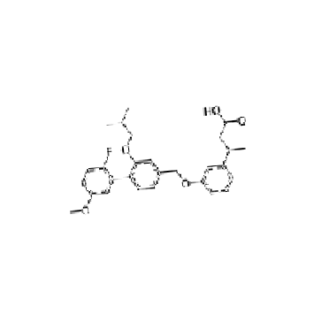 COc1ccc(F)c(-c2ccc(COc3cccc([C@H](C)CC(=O)O)c3)cc2OCC(C)C)c1